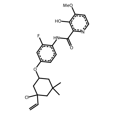 C=CC1(Cl)CC(Oc2ccc(NC(=O)c3nccc(OC)c3O)c(F)c2)CC(C)(C)C1